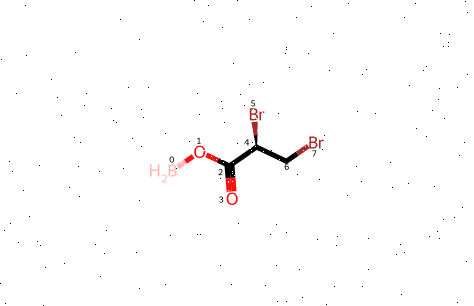 BOC(=O)[C@@H](Br)CBr